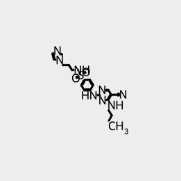 CCCCNc1nc(Nc2ccc(S(=O)(=O)NCCCn3ccnc3)cc2)ncc1C#N